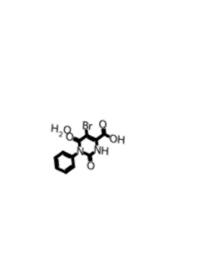 O.O=C(O)c1[nH]c(=O)n(-c2ccccc2)c(=O)c1Br